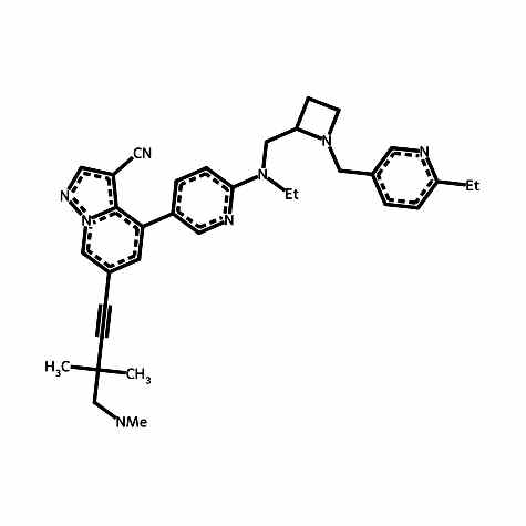 CCc1ccc(CN2CCC2CN(CC)c2ccc(-c3cc(C#CC(C)(C)CNC)cn4ncc(C#N)c34)cn2)cn1